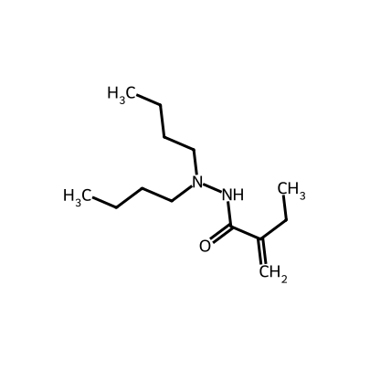 C=C(CC)C(=O)NN(CCCC)CCCC